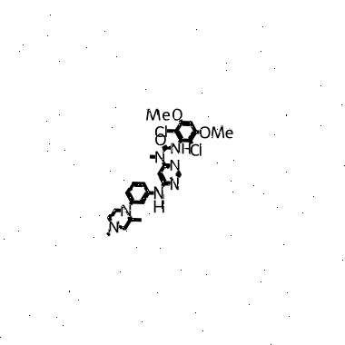 COc1cc(OC)c(Cl)c(NC(=O)N(C)c2cc(Nc3cccc(N4CCN(C)CC4C)c3)ncn2)c1Cl